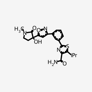 CC(C)c1sc(-c2cccc(-c3cc(C4(O)CCN(C)C4=O)on3)c2)nc1C(N)=O